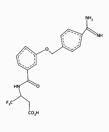 N=C(N)c1ccc(COc2cccc(C(=O)NC(CC(=O)O)C(F)(F)F)c2)cc1